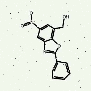 O=[N+]([O-])c1cc(CO)c2oc(-c3ccccc3)nc2c1